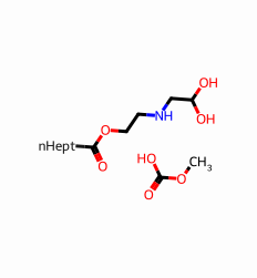 CCCCCCCC(=O)OCCNCC(O)O.COC(=O)O